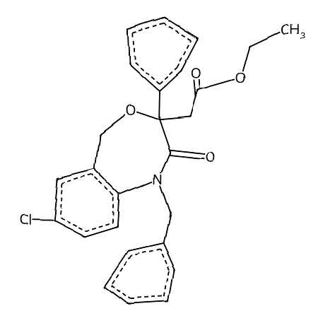 CCOC(=O)CC1(c2ccccc2)OCc2cc(Cl)ccc2N(Cc2ccccc2)C1=O